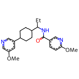 CCC(NC(=O)c1ccc(OC)nc1)C1CCC(c2cncc(OC)c2)CC1